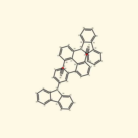 N#Cc1cccc(-c2cccc(-n3c4ccccc4c4ccccc43)c2)c1-c1c(C#N)cccc1-n1c2ccccc2c2ccccc21